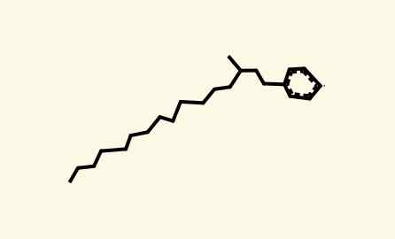 CCCCCCCCCCCCCC(C)CCc1cc[c]cc1